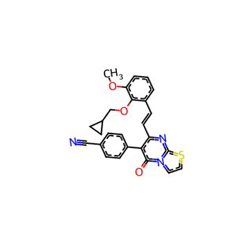 COc1cccc(C=Cc2nc3sccn3c(=O)c2-c2ccc(C#N)cc2)c1OCC1CC1